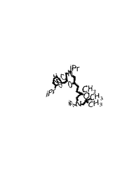 CC(C)N1CC(CCC2(C)CN(C(C)C)CC(C)(C)O2)OC(C)(CC23CCC(CO2)N(C(C)C)C3)C1